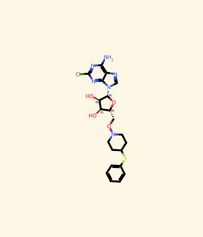 Nc1nc(Cl)nc2c1ncn2[C@@H]1O[C@H](CON2CCC(Sc3ccccc3)CC2)[C@@H](O)[C@H]1O